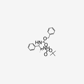 C[C@@H](NC(=O)OC(C)(C)C)C(NC(=O)OCc1ccccc1)c1ccccc1